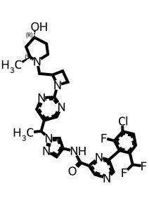 CC(c1cnc(N2CCC2CN2CC[C@@H](O)C[C@@H]2C)nc1)n1cc(NC(=O)c2cncc(-c3c(C(F)F)ccc(Cl)c3F)n2)cn1